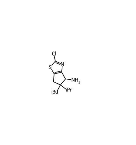 CCC(C)C1(C(C)C)Cc2sc(Cl)nc2[C@H]1N